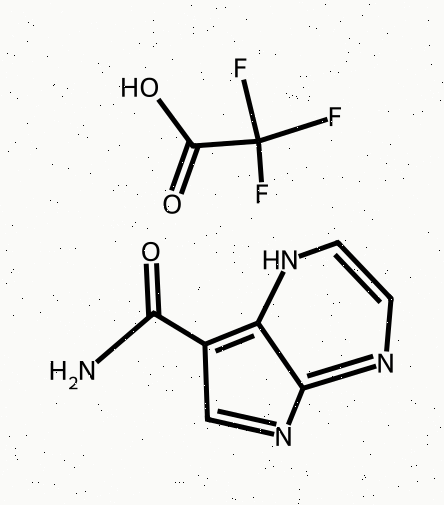 NC(=O)c1cnc2ncc[nH]c1-2.O=C(O)C(F)(F)F